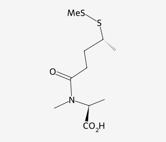 CSS[C@H](C)CCC(=O)N(C)[C@@H](C)C(=O)O